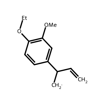 [CH2]C(C=C)c1ccc(OCC)c(OC)c1